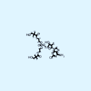 CC(C)(CO)C(=O)SCCOP(=O)(OCCSC(=O)C(C)(C)CO)OC[C@H]1O[C@@H](n2cnc3c(N)nc(Cl)nc32)C(F)C1O